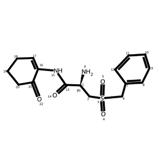 N[C@@H](CS(=O)(=O)Cc1ccccc1)C(=O)NC1=CCCCC1=O